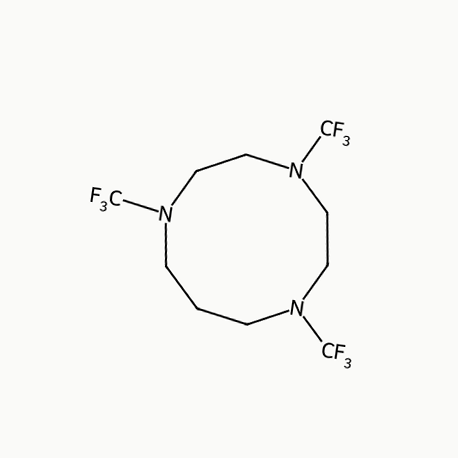 FC(F)(F)N1CCCN(C(F)(F)F)CCN(C(F)(F)F)CC1